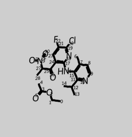 CCOC(C)=O.Cc1ccnc(C(C)C)c1Nc1nc(Cl)c(F)cc1C(=O)C(C)[N+](=O)[O-]